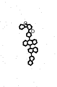 c1ccc2cc(-c3ccc(-c4c5ccccc5c(-c5ccc6c(c5)oc5ccc7oc8ccccc8c7c56)c5ccccc45)c4ccccc34)ccc2c1